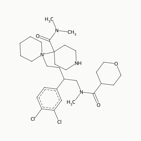 CN(C)C(=O)C1([N+]2(CCC(CN(C)C(=O)C3CCOCC3)c3ccc(Cl)c(Cl)c3)CCCCC2)CCNCC1